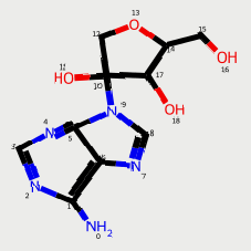 Nc1ncnc2c1ncn2C1(O)COC(CO)C1O